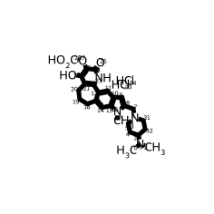 CN(C)C1CCN(Cc2cc3cc4c(cc3n2C)CCCc2c-4[nH]c(=O)c(OC(=O)O)c2O)CC1.Cl.Cl